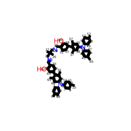 Cc1ccc(N(c2ccc(C)cc2)c2cc(C)c(-c3ccc(/C=N/CC(C)(C)C/N=C/c4ccc(-c5c(C)cc(N(c6ccc(C)cc6)c6ccc(C)cc6)cc5C)cc4O)c(O)c3)c(C)c2)cc1